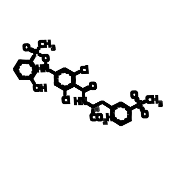 CP(=O)(ONc1cc(Cl)c(C(=O)N[C@@H](Cc2cccc(S(C)(=O)=O)c2)C(=O)O)c(Cl)c1)c1cccc(O)c1